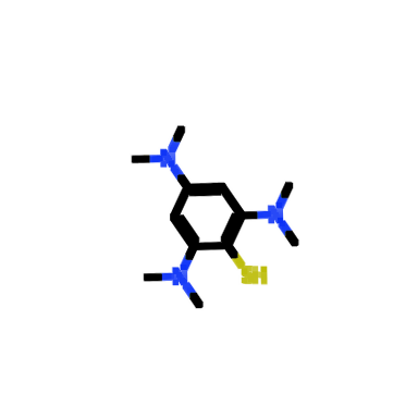 CN(C)c1cc(N(C)C)c(S)c(N(C)C)c1